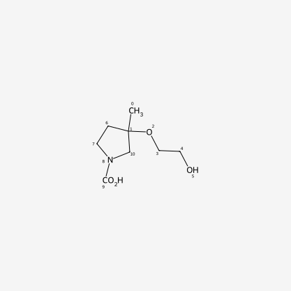 CC1(OCCO)CCN(C(=O)O)C1